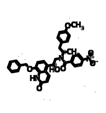 COc1ccc(C[C@@H](C)N(C[C@H](O)c2ccc(OCc3ccccc3)c3[nH]c(=O)ccc23)C(=O)c2ccc([N+](=O)[O-])cc2)cc1